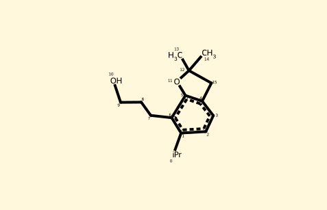 CC(C)c1ccc2c(c1CCCO)OC(C)(C)C2